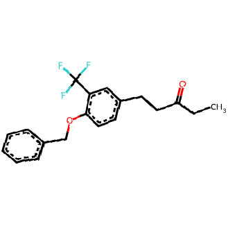 CCC(=O)CCc1ccc(OCc2ccccc2)c(C(F)(F)F)c1